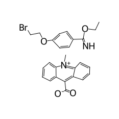 CCOC(=N)c1ccc(OCCBr)cc1.C[n+]1c2ccccc2c(C(=O)[O-])c2ccccc21